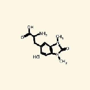 Cl.Cn1c(=O)n(C)c2cc(CC(N)C(=O)O)ccc21